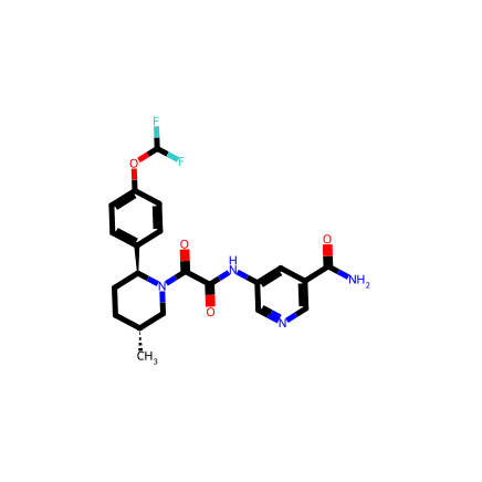 C[C@@H]1CC[C@@H](c2ccc(OC(F)F)cc2)N(C(=O)C(=O)Nc2cncc(C(N)=O)c2)C1